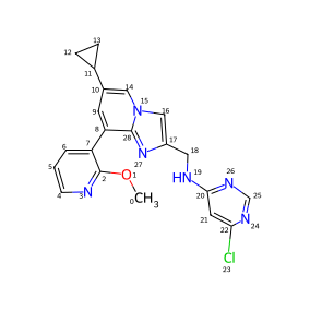 COc1ncccc1-c1cc(C2CC2)cn2cc(CNc3cc(Cl)ncn3)nc12